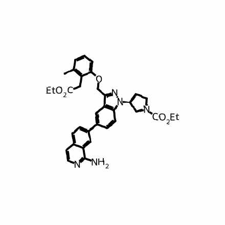 CCOC(=O)Cc1c(C)cccc1OCc1nn([C@H]2CCN(C(=O)OCC)C2)c2ccc(-c3ccc4ccnc(N)c4c3)cc12